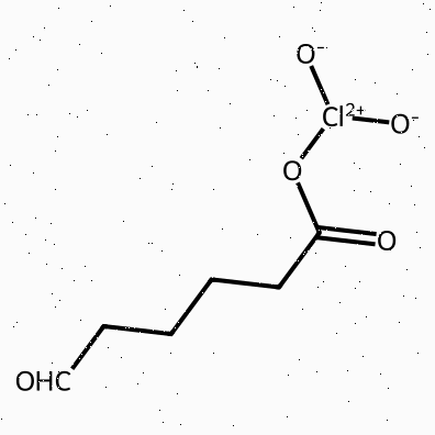 O=CCCCCC(=O)O[Cl+2]([O-])[O-]